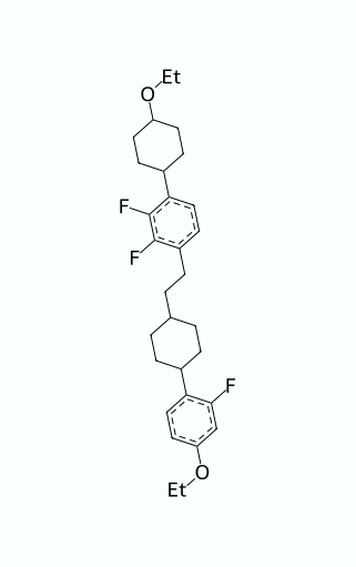 CCOc1ccc(C2CCC(CCc3ccc(C4CCC(OCC)CC4)c(F)c3F)CC2)c(F)c1